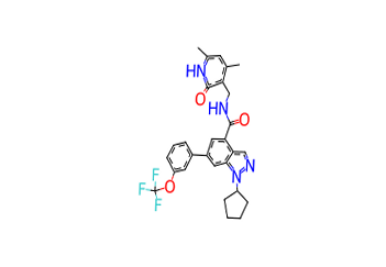 Cc1cc(C)c(CNC(=O)c2cc(-c3cccc(OC(F)(F)F)c3)cc3c2cnn3C2CCCC2)c(=O)[nH]1